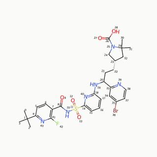 CC(C)(C)c1ccc(C(=O)NS(=O)(=O)c2cccc(NC(CC[C@@H]3CN(C(=O)O)C(C)(C)C3)c3cc(Br)ccn3)n2)c(F)n1